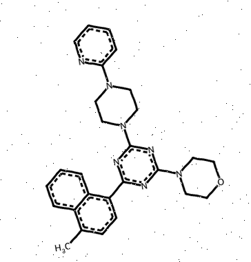 Cc1ccc(-c2nc(N3CCOCC3)nc(N3CCN(c4ccccn4)CC3)n2)c2ccccc12